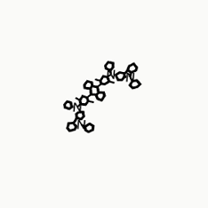 Cc1cc(N(c2ccccc2)c2ccc3c(c2)c2ccccc2n3-c2ccccc2)c(C)cc1-c1c2ccccc2c(-c2cc(C)c(N(c3ccccc3)c3ccc4c(c3)c3ccccc3n4-c3ccccc3)cc2C)c2ccccc12